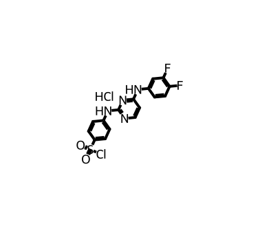 Cl.O=S(=O)(Cl)c1ccc(Nc2nccc(Nc3ccc(F)c(F)c3)n2)cc1